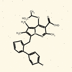 Cc1nn2c(Cc3ccccc3-c3ccc(F)cc3)c(C)c(N)c2c(OC(C)C(=O)O)c1C(=O)[C]=O